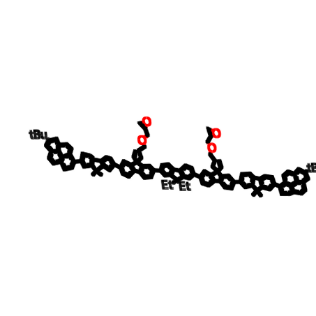 C=CC1(CCCOCC2CO2)c2cc(-c3ccc4c(c3)C(C)(C)c3cc(-c5ccc6ccc7cc(C(C)(C)C)cc8ccc5c6c78)ccc3-4)ccc2-c2ccc(-c3ccc4c(c3)C(CC)(CC)c3cc(-c5ccc6c(c5)C(C=C)(CCCOCC5CO5)c5cc(-c7ccc8c(c7)C(C)(C)c7cc(-c9ccc%10ccc%11cc(C(C)(C)C)cc%12ccc9c%10c%11%12)ccc7-8)ccc5-6)ccc3-4)cc21